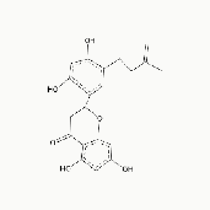 C=C(C)CCc1cc(C2CC(=O)c3c(O)cc(O)cc3O2)c(O)cc1O